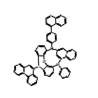 c1ccc(N2c3cccc4c3Oc3c(cccc3N4c3cc4ccccc4c4ccccc34)N(c3ccc(-c4cccc5ccccc45)cc3)c3cc2c2ccccc2c3)cc1